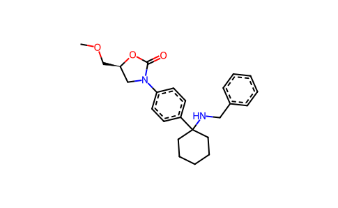 COC[C@@H]1CN(c2ccc(C3(NCc4ccccc4)CCCCC3)cc2)C(=O)O1